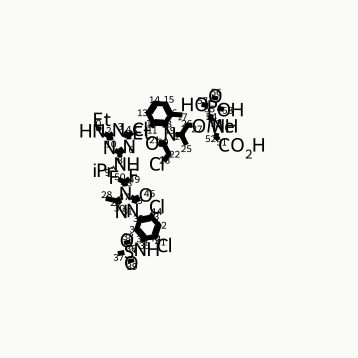 CCNc1nc(Cl)nc(NC(C)C)n1.CCc1cccc(C)c1N(C(=O)CCl)C(C)COC.Cc1nn(-c2cc(NS(C)(=O)=O)c(Cl)cc2Cl)c(=O)n1C(F)F.O=C(O)CNCP(=O)(O)O